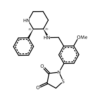 COc1ccc(N2SCC(=O)C2=O)cc1CN[C@@H]1CCCN[C@@H]1c1ccccc1